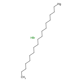 Br.CCCCCCCCCCCCCCCCC[CH2][Hg]